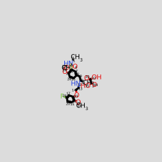 CCNS(=O)(=O)c1cc(CC(C)NCCOc2cc(F)ccc2OC)ccc1OC.O=C(O)C(=O)O